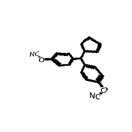 N#COc1ccc(C(c2ccc(OC#N)cc2)C2CCCC2)cc1